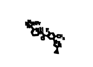 CC(C)n1nnnc1-c1cccc(NC(=O)c2cc(-n3cnc(C4CC4)c3)c(C(F)(F)F)cc2F)n1